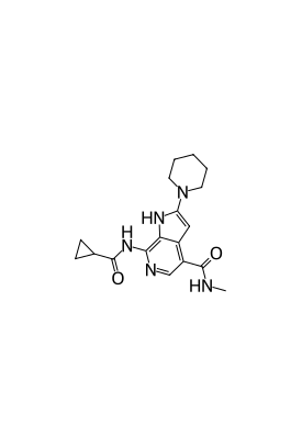 CNC(=O)c1cnc(NC(=O)C2CC2)c2[nH]c(N3CCCCC3)cc12